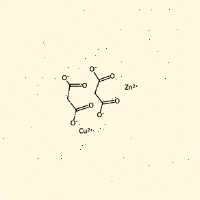 O=C([O-])CC(=O)[O-].O=C([O-])CC(=O)[O-].[Cu+2].[Zn+2]